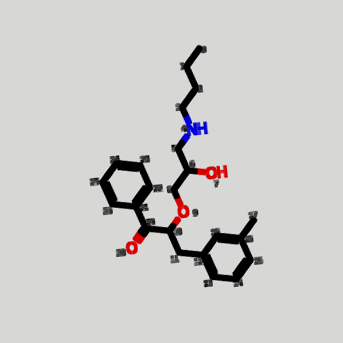 CCCCNCC(O)COC(Cc1cccc(C)c1)C(=O)c1ccccc1